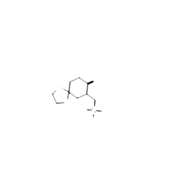 C[N+](C)(C)CC1CC2(CCC1=O)OCCO2.[I-]